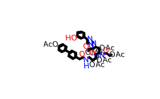 COC(=O)[C@@]1(n2cc(-c3cccc(O)c3)nn2)C[C@H](OC(C)=O)[C@@H](NC(=O)COC(C)=O)[C@H]([C@H](OC(C)=O)[C@@H](CNC(=O)Cc2ccc(-c3ccc(OC(C)=O)cc3)cc2)OC(C)=O)O1